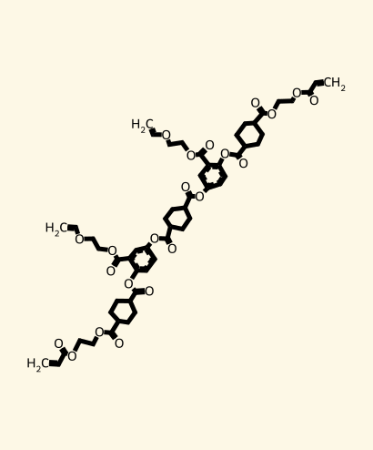 C=COCCOC(=O)c1cc(OC(=O)C2CCC(C(=O)Oc3ccc(OC(=O)C4CCC(C(=O)OCCOC(=O)C=C)CC4)c(C(=O)OCCOC=C)c3)CC2)ccc1OC(=O)C1CCC(C(=O)OCCOC(=O)C=C)CC1